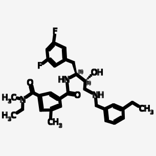 CCc1cccc(CNC[C@@H](O)[C@H](Cc2cc(F)cc(F)c2)NC(=O)c2cc(C)cc(C(=O)N(C)CC)c2)c1